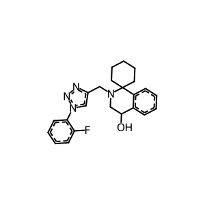 OC1CN(Cc2cn(-c3ccccc3F)nn2)C2(CCCCC2)c2ccccc21